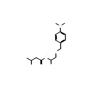 CC(S)CC(=O)NC(CSCc1ccc(N(C)C)cc1)C(=O)O